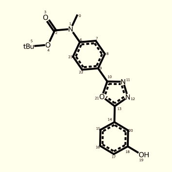 CN(C(=O)OC(C)(C)C)c1ccc(-c2nnc(-c3cccc(O)c3)o2)cc1